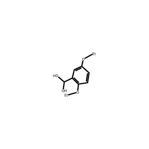 CCOc1ccc(OCC)c(C(O)O)c1